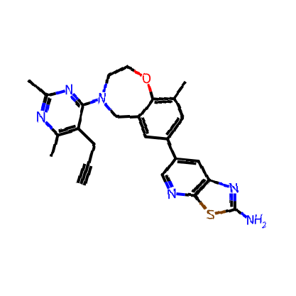 C#CCc1c(C)nc(C)nc1N1CCOc2c(C)cc(-c3cnc4sc(N)nc4c3)cc2C1